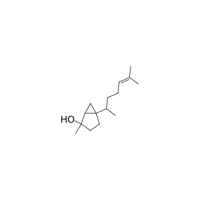 CC(C)=CCCC(C)C12CCC(C)(O)C1C2